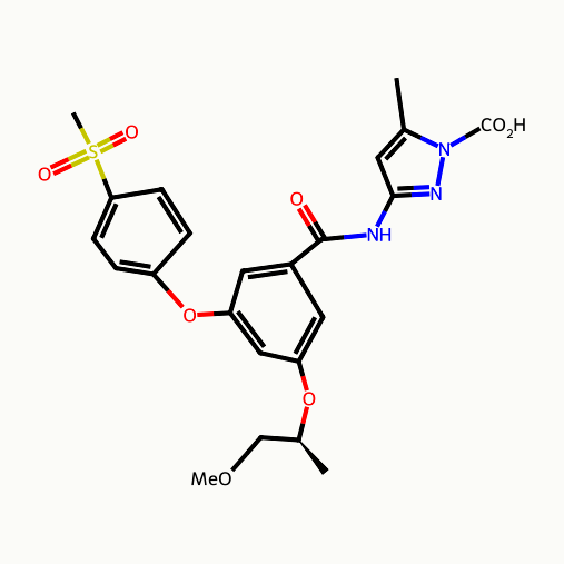 COC[C@H](C)Oc1cc(Oc2ccc(S(C)(=O)=O)cc2)cc(C(=O)Nc2cc(C)n(C(=O)O)n2)c1